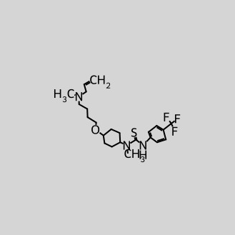 C=CCN(C)CCCCOC1CCC(N(C)C(=S)Nc2ccc(C(F)(F)F)cc2)CC1